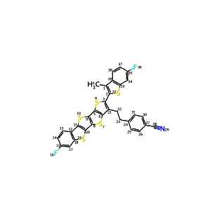 Cc1c(-c2sc3c(sc4c3sc3c5ccc(F)cc5sc34)c2CCc2ccc(C#N)cc2)sc2cc(F)ccc12